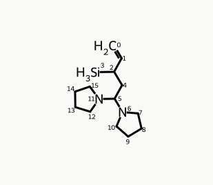 C=CC([SiH3])CC(N1CCCC1)N1CCCC1